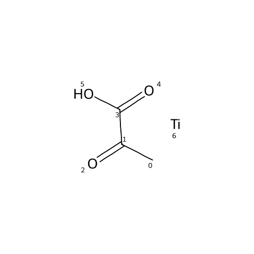 CC(=O)C(=O)O.[Ti]